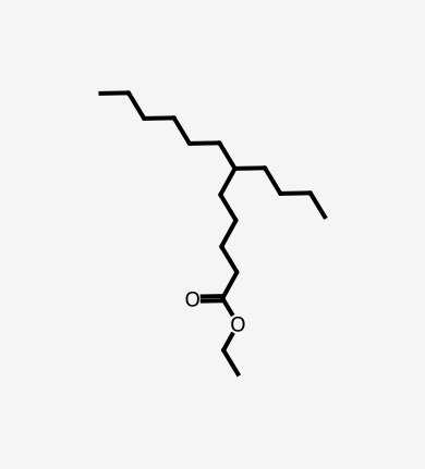 CCCCCCC(CCCC)CCCCC(=O)OCC